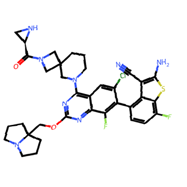 N#Cc1c(N)sc2c(F)ccc(-c3c(Cl)cc4c(N5CCCC6(CN(C(=O)[C@H]7CN7)C6)C5)nc(OCC56CCCN5CCC6)nc4c3F)c12